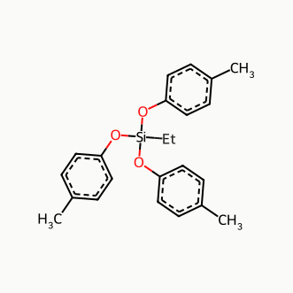 CC[Si](Oc1ccc(C)cc1)(Oc1ccc(C)cc1)Oc1ccc(C)cc1